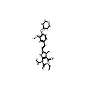 CCn1c(=O)c2c(nc(C=Cc3ccc(OC4CCOCC4)c(OC)c3)n2C)n(CC)c1=O